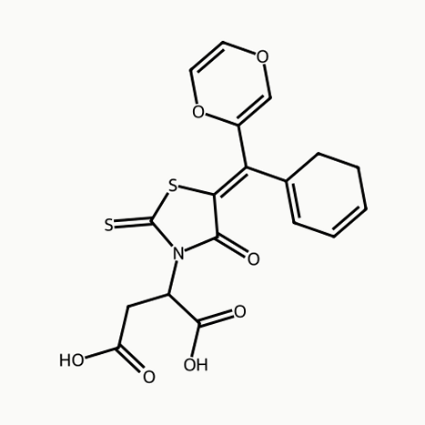 O=C(O)CC(C(=O)O)N1C(=O)C(=C(C2=CC=CCC2)C2=COC=CO2)SC1=S